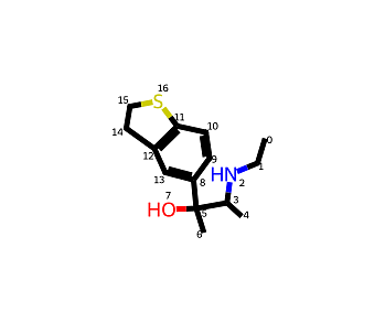 CCNC(C)C(C)(O)c1ccc2c(c1)CCS2